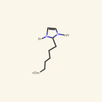 CCCCCCCCCCCCCCCC1N(CCC)C=CN1C(C)C